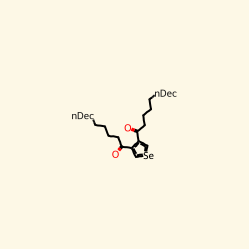 CCCCCCCCCCCCCCC(=O)c1c[se]cc1C(=O)CCCCCCCCCCCCCC